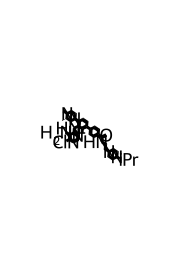 CC(C)N1CCN(CCNC(=O)c2ccc(-c3ccc(N4CCN(C)[C@@H](C)C4)c(Nc4ncnc(Cl)c4N)c3F)cc2)CC1